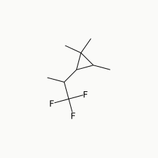 CC(C1C(C)C1(C)C)C(F)(F)F